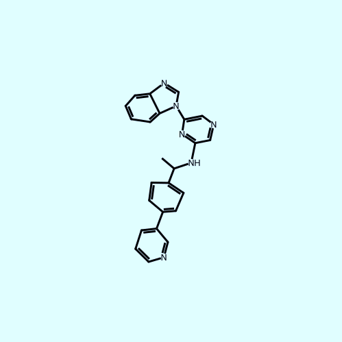 CC(Nc1cncc(-n2cnc3ccccc32)n1)c1ccc(-c2cccnc2)cc1